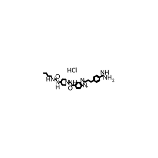 CCCCNC(=O)NC1CCN(NC(=O)c2ccc3c(c2)nc(CCc2ccc(C(=N)N)cc2)n3C)CC1.Cl